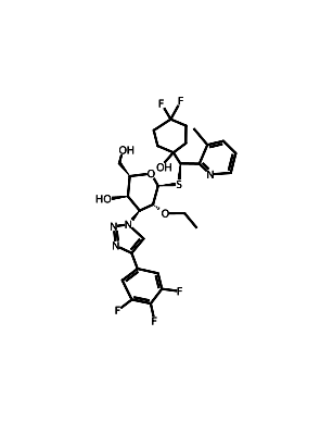 CCO[C@@H]1[C@@H](n2cc(-c3cc(F)c(F)c(F)c3)nn2)[C@@H](O)[C@@H](CO)O[C@H]1S[C@H](c1ncccc1C)C1(O)CCC(F)(F)CC1